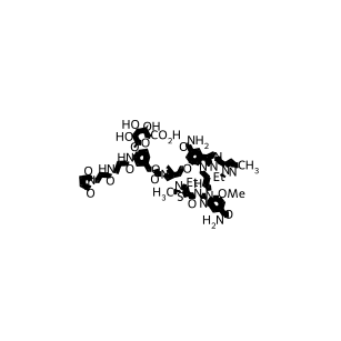 CCc1nc(C)sc1C(=O)Nc1nc2cc(C(N)=O)cc(OC)c2n1C/C=C/Cn1c2nc(-c3cc(C)nn3CC)ncc2c2cc(C(N)=O)cc(OCCC3CN(C(=O)OCc4ccc(O[C@@H]5O[C@H](C(=O)O)[C@@H](O)[C@H](O)[C@H]5O)c(NC(=O)CCNC(=O)CCN5C(=O)C=CC5=O)c4)C3)c21